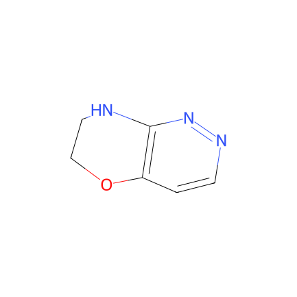 c1cc2c(nn1)NCCO2